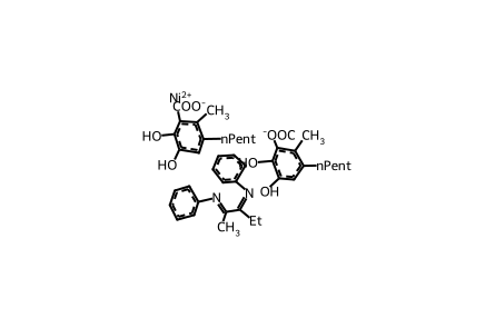 CCC(=Nc1ccccc1)C(C)=Nc1ccccc1.CCCCCc1cc(O)c(O)c(C(=O)[O-])c1C.CCCCCc1cc(O)c(O)c(C(=O)[O-])c1C.[Ni+2]